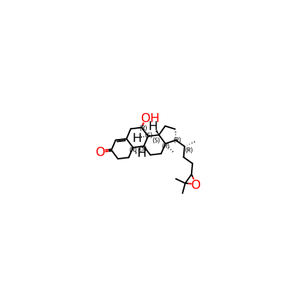 C[C@H](CCC1OC1(C)C)[C@H]1CC[C@H]2[C@@H]3[C@H](O)CC4=CC(=O)CC[C@]4(C)[C@H]3CC[C@]12C